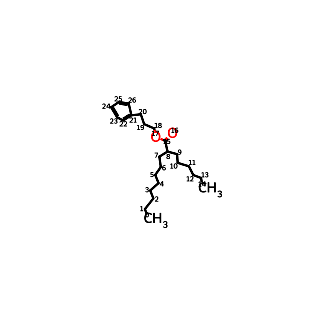 CCCCCCCCC(CCCCCC)C(=O)OCCCc1ccccc1